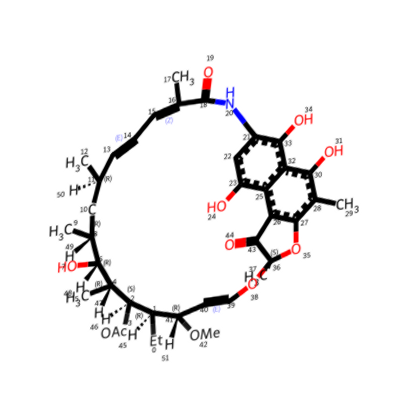 CC[C@H]1[C@@H](OC(C)=O)[C@H](C)[C@H](O)[C@H](C)C[C@@H](C)/C=C/C=C(/C)C(=O)Nc2cc(O)c3c4c(c(C)c(O)c3c2O)O[C@](C)(O/C=C/[C@@H]1OC)C4=O